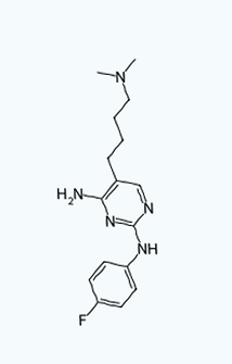 CN(C)CCCCc1cnc(Nc2ccc(F)cc2)nc1N